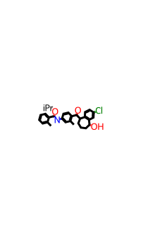 Cc1cc(/N=C(\OC(C)C)c2ccccc2C)ccc1C(=O)C1CCCC(O)c2cc(Cl)ccc21